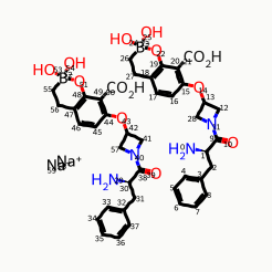 N[C@H](Cc1ccccc1)C(=O)N1CC(Oc2ccc3c(c2C(=O)O)O[B-](O)(O)CC3)C1.N[C@H](Cc1ccccc1)C(=O)N1CC(Oc2ccc3c(c2C(=O)O)O[B-](O)(O)CC3)C1.[Na+].[Na+]